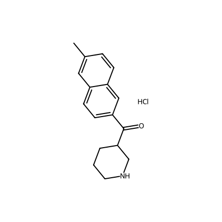 Cc1ccc2cc(C(=O)C3CCCNC3)ccc2c1.Cl